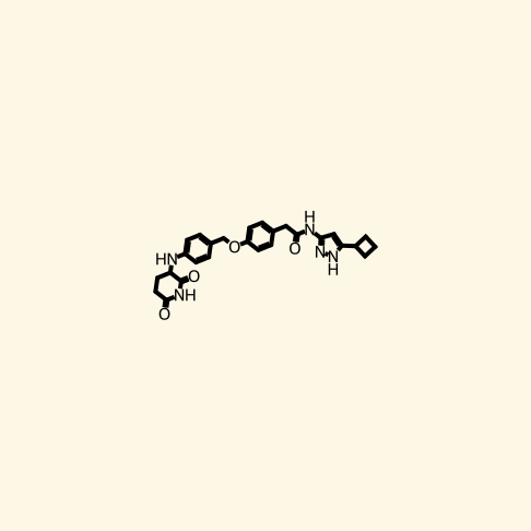 O=C1CCC(Nc2ccc(COc3ccc(CC(=O)Nc4cc(C5CCC5)[nH]n4)cc3)cc2)C(=O)N1